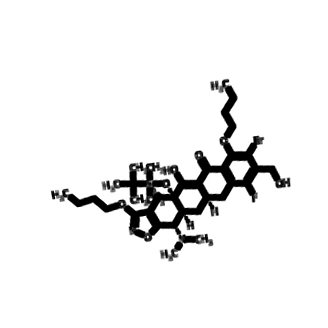 CCCCOc1noc2c1C(=O)[C@@]1(O[Si](C)(C)C(C)(C)C)C(O)=C3C(=O)c4c(c(F)c(CO)c(Br)c4OCCCC)C[C@H]3C[C@H]1[C@@H]2N(C)C